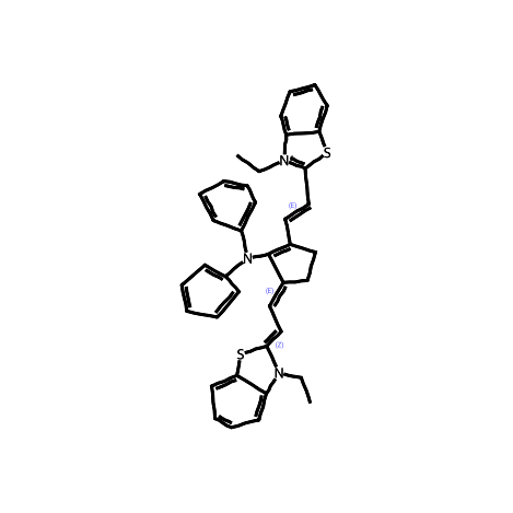 CCN1/C(=C/C=C2\CCC(/C=C/c3sc4ccccc4[n+]3CC)=C2N(c2ccccc2)c2ccccc2)Sc2ccccc21